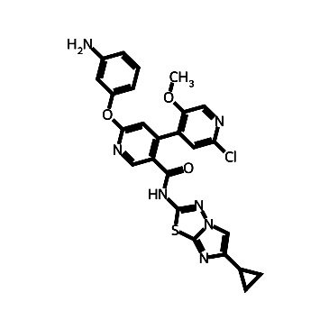 COc1cnc(Cl)cc1-c1cc(Oc2cccc(N)c2)ncc1C(=O)Nc1nn2cc(C3CC3)nc2s1